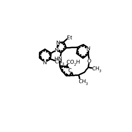 CCc1nn(-c2cccnc2C)c2c1-c1ccc(nc1)OC(C)CC(C)c1ccc(c(C(=O)O)c1)N2